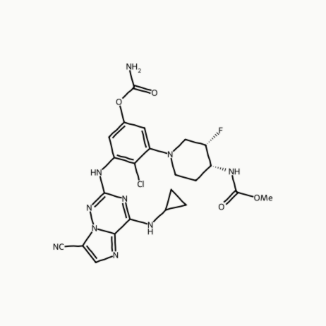 COC(=O)N[C@@H]1CCN(c2cc(OC(N)=O)cc(Nc3nc(NC4CC4)c4ncc(C#N)n4n3)c2Cl)C[C@@H]1F